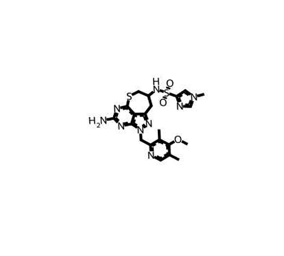 COc1c(C)cnc(Cn2nc3c4c(nc(N)nc42)SCC(NS(=O)(=O)c2cn(C)cn2)C3)c1C